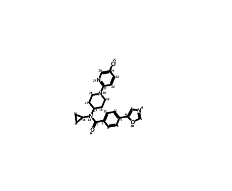 O=C(c1ccc(-c2cnco2)cc1)N(C1CC1)C1CCN(c2ccc(Cl)cn2)CC1